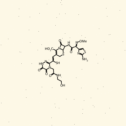 CON=C(C(=O)NC1C(=O)N2C(C(=O)O)=C(C=C(S)c3n[nH]c(=O)c(=O)n3CC(=O)NCCO)CSC12)c1csc(N)n1